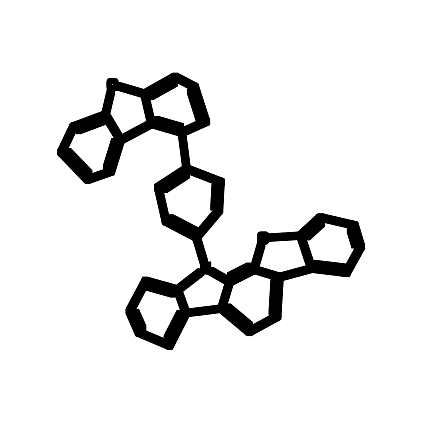 c1ccc2c(c1)oc1c2ccc2c3ccccc3n(-c3ccc(-c4cccc5oc6ccccc6c45)cc3)c21